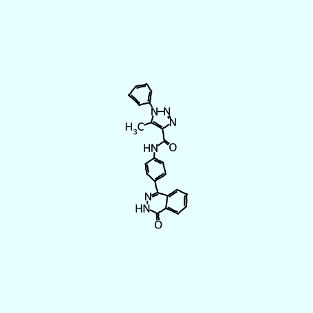 Cc1c(C(=O)Nc2ccc(-c3n[nH]c(=O)c4ccccc34)cc2)nnn1-c1ccccc1